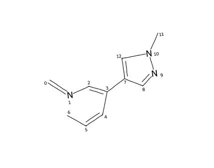 C=N/C=C(\C=C/C)c1cnn(C)c1